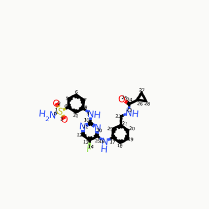 NS(=O)(=O)c1cccc(Nc2ncc(F)c(Nc3cccc(CNC(=O)C4CC4)c3)n2)c1